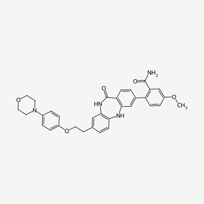 COc1ccc(-c2ccc3c(c2)Nc2ccc(CCOc4ccc(N5CCOCC5)cc4)cc2NC3=O)c(C(N)=O)c1